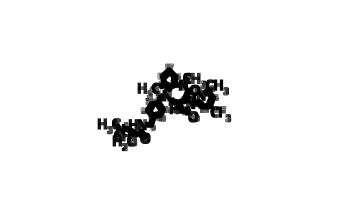 C=C(CN(C)C)C(=O)NCc1ccc(CN2C[C@H]3CC(=O)N(c4cc(C(F)(F)F)cc(C)n4)[C@@H]3C(=O)N(C)c3cccc(C)c32)cc1